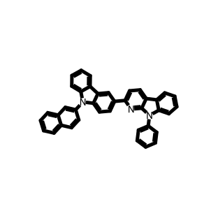 c1ccc(-n2c3ccccc3c3ccc(-c4ccc5c(c4)c4ccccc4n5-c4ccc5ccccc5c4)nc32)cc1